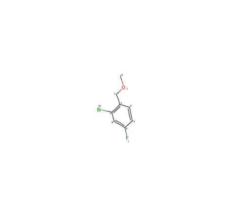 COCc1ccc(F)cc1Br